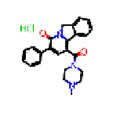 CN1CCN(C(=O)c2cc(-c3ccccc3)c(=O)n3c2-c2ccccc2C3)CC1.Cl